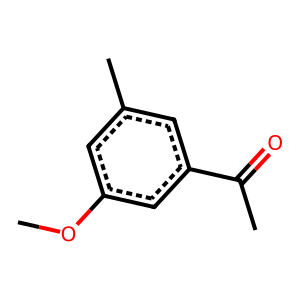 COc1cc(C)cc(C(C)=O)c1